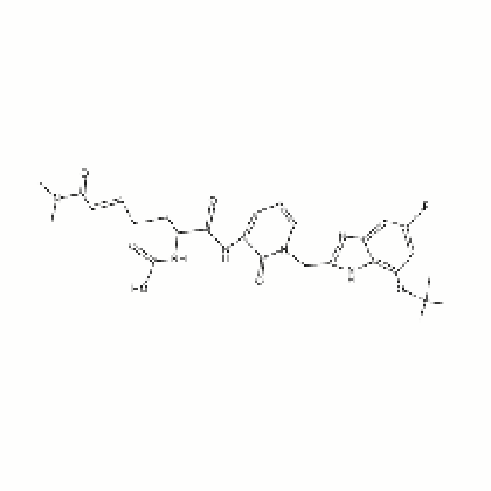 CN(C)C(=O)C=CCCC(NC(=O)O)C(=O)Nc1cccn(Cc2nc3cc(F)cc(OC(C)(C)C)c3[nH]2)c1=O